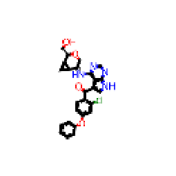 O=C(c1ccc(Oc2ccccc2)cc1Cl)c1c[nH]c2ncnc(N[C@H]3CO[C@H](CO)C4CC43)c12